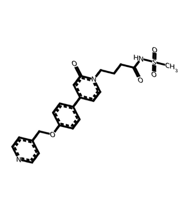 CS(=O)(=O)NC(=O)CCCn1ccc(-c2ccc(OCc3ccncc3)cc2)cc1=O